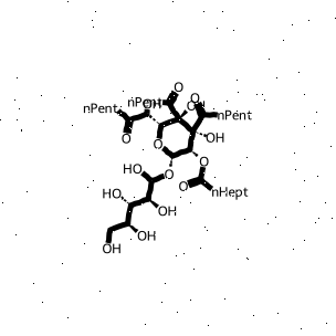 CCCCCCCC(=O)O[C@@H]1[C@H](OC(O)[C@@H](O)[C@@H](O)[C@@H](O)CO)O[C@H](C(O)C(=O)CCCCC)[C@](O)(C(=O)CCCCC)[C@@]1(O)C(=O)CCCCC